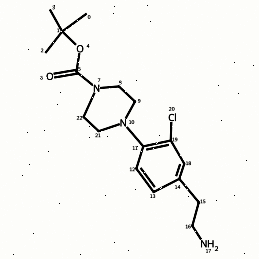 CC(C)(C)OC(=O)N1CCN(c2ccc(CCN)cc2Cl)CC1